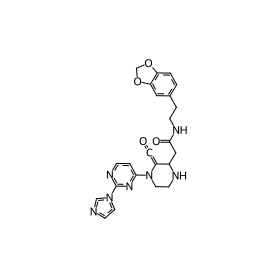 O=C=C1C(CC(=O)NCCc2ccc3c(c2)OCO3)NCCN1c1ccnc(-n2ccnc2)n1